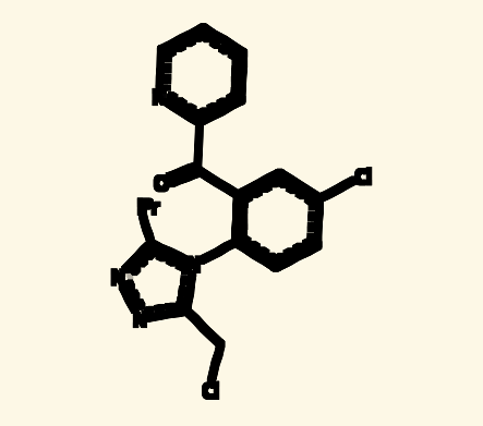 CC(C)c1nnc(CCl)n1-c1ccc(Cl)cc1C(=O)c1ccccn1